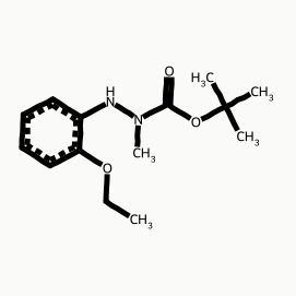 CCOc1ccccc1NN(C)C(=O)OC(C)(C)C